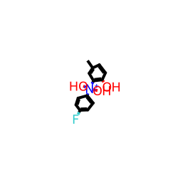 Cc1ccc(O)c([N+](O)(O)c2ccc(F)cc2)c1